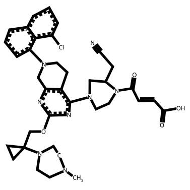 CN1CCN(C2(COc3nc4c(c(N5CCN(C(=O)/C=C/C(=O)O)C(CC#N)C5)n3)CCN(c3cccc5cccc(Cl)c35)C4)CC2)CC1